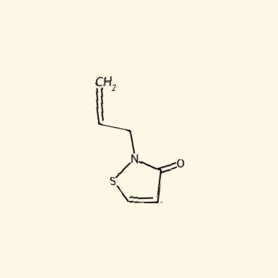 C=CCn1sc[c]c1=O